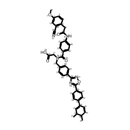 COc1ccc(CC(=O)Nc2ccc(C(=O)N(CC(=O)O)Cc3ccc(-c4noc(-c5ccc(C6=CC(C)C(C)C=C6)cc5)n4)cc3)cc2)c(C#N)c1